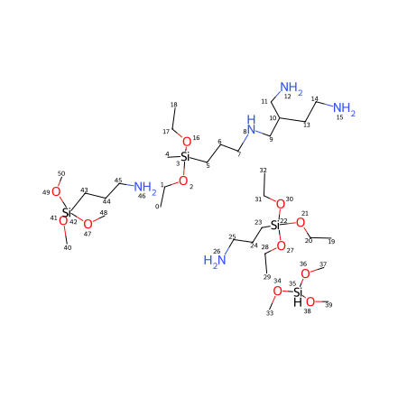 CCO[Si](C)(CCCNCC(CN)CCN)OCC.CCO[Si](CCCN)(OCC)OCC.CO[SiH](OC)OC.CO[Si](CCCN)(OC)OC